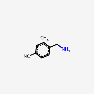 C.N#Cc1ccc(CN)cc1